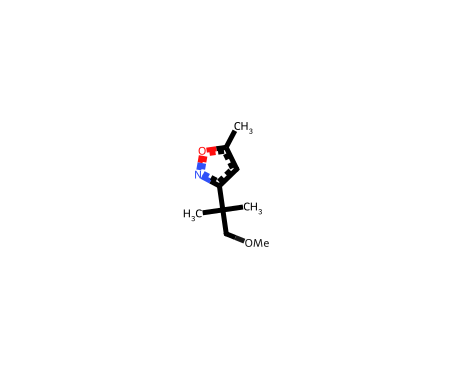 COCC(C)(C)c1cc(C)on1